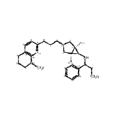 CCOC(=O)CC(NC1[C@H]2CN(CCCc3ccc4c(n3)N(C(=O)O)CCC4)C[C@@H]12)c1ccccc1